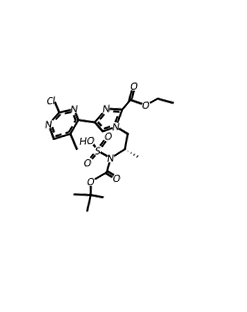 CCOC(=O)c1nc(-c2nc(Cl)ncc2C)cn1C[C@H](C)N(C(=O)OC(C)(C)C)S(=O)(=O)O